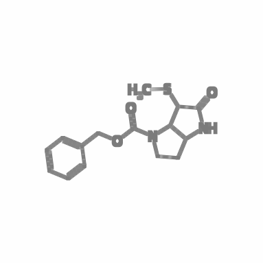 CSC1C(=O)NC2CCN(C(=O)OCc3ccccc3)C21